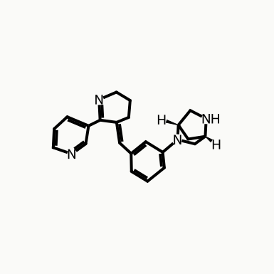 C(=C1CCCN=C1c1cccnc1)c1cccc(N2C[C@@H]3C[C@H]2CN3)c1